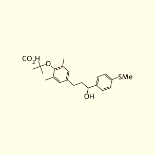 CSc1ccc(C(O)CCc2cc(C)c(OC(C)(C)C(=O)O)c(C)c2)cc1